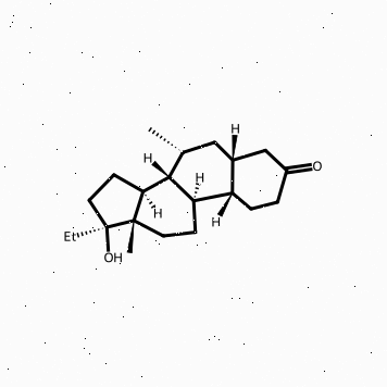 CC[C@]1(O)CC[C@H]2[C@H]3[C@H](CC[C@@]21C)[C@H]1CCC(=O)C[C@H]1C[C@H]3C